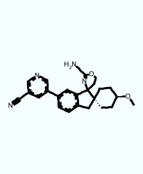 CO[C@H]1CC[C@]2(CC1)Cc1ccc(-c3cncc(C#N)c3)cc1C21CCOC(N)=N1